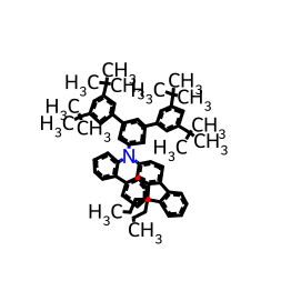 CCCC1(CCC)c2ccccc2-c2ccc(N(c3cc(-c4cc(C(C)(C)C)cc(C(C)(C)C)c4)cc(-c4cc(C(C)(C)C)cc(C(C)(C)C)c4)c3)c3ccccc3-c3ccccc3)cc21